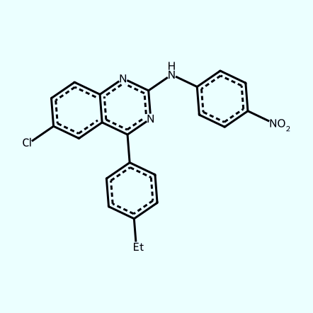 CCc1ccc(-c2nc(Nc3ccc([N+](=O)[O-])cc3)nc3ccc(Cl)cc23)cc1